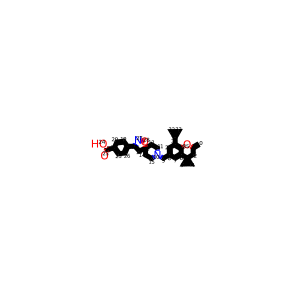 C=C1CC2(CC2)c2cc(CN3CCC4(CC3)CC(c3ccc(C(=O)O)cc3)=NO4)cc(C3CC3)c2O1